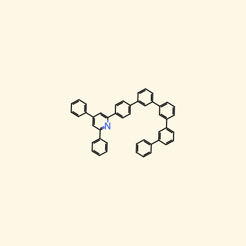 c1ccc(-c2cccc(-c3cccc(-c4cccc(-c5ccc(-c6cc(-c7ccccc7)cc(-c7ccccc7)n6)cc5)c4)c3)c2)cc1